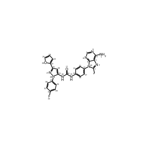 Cc1nc2c(N)ncnc2n1-c1ccc(NC(=O)Nc2cc(-c3ccco3)nn2-c2ccc(F)cc2)cc1